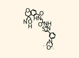 C[C@@H]1CN(c2cccc(-c3csc(NC(=O)CNC(=O)c4ccc5c(c4)C(C#N)(CO)CCO5)n3)c2)C[C@H](C)O1